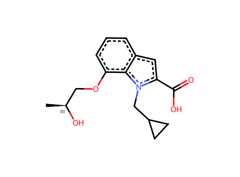 C[C@H](O)COc1cccc2cc(C(=O)O)n(CC3CC3)c12